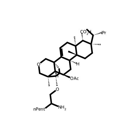 CCCCCC(N)CO[C@H]1[C@H](OC(C)=O)C[C@@]23COC[C@@]1(C)[C@@H]2CC[C@H]1C3=CC[C@@]2(C)[C@H](C(=O)O)[C@@](C)([C@H](C)C(C)C)CC[C@]12C